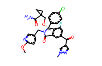 COc1ccc(CN2C(=O)c3cc(C(=O)c4cnn(C)c4)cc(F)c3[C@]2(OCC2(C(N)=O)CC2)c2ccc(Cl)cc2)cn1